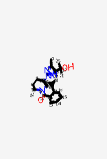 Cc1nn([C@@H]2CC[C@@H](C)N(C(=O)c3ccccc3C3CC3)C2)nc1C(C)(C)O